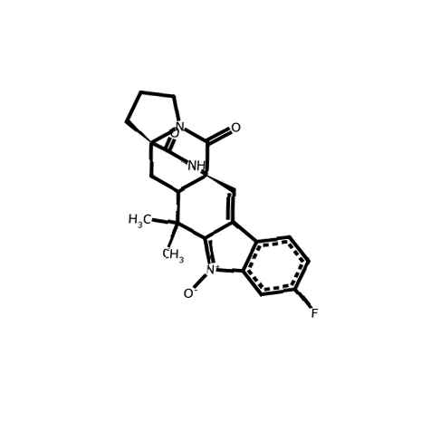 CC1(C)C2=[N+]([O-])c3cc(F)ccc3C2=C[C@@]23NC(=O)[C@]4(CCCN4C2=O)CC13